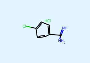 Cl.N=C(N)c1ccc(Cl)cc1